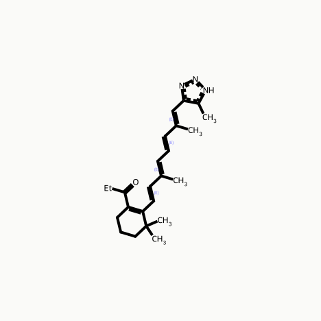 CCC(=O)C1=C(/C=C/C(C)=C/C=C/C(C)=C/c2nn[nH]c2C)C(C)(C)CCC1